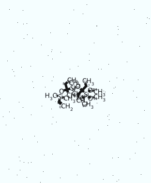 C=C[Si](C)(C)OC(C)(CC)[Si](C)(C)OC(CC)(CC)[Si](OC)(OC)OC